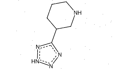 C1CNCC(c2nn[nH]n2)C1